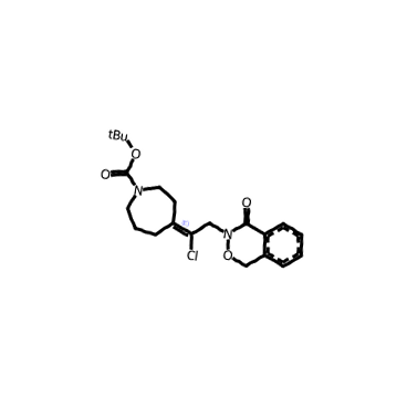 CC(C)(C)OC(=O)N1CCC/C(=C(\Cl)CN2OCc3ccccc3C2=O)CC1